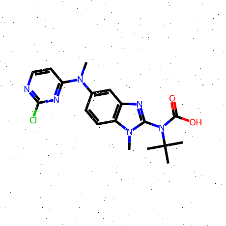 CN(c1ccc2c(c1)nc(N(C(=O)O)C(C)(C)C)n2C)c1ccnc(Cl)n1